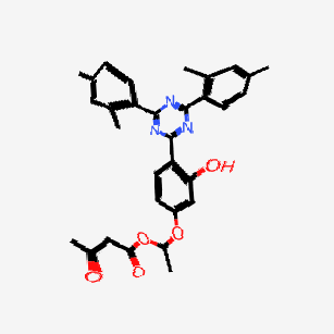 CC(=O)CC(=O)OC(C)Oc1ccc(-c2nc(-c3ccc(C)cc3C)nc(-c3ccc(C)cc3C)n2)c(O)c1